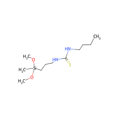 CCCCNC(=S)NCCC[Si](C)(OC)OC